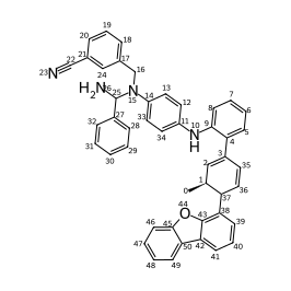 C[C@H]1C=C(c2ccccc2Nc2ccc(N(Cc3cccc(C#N)c3)C(N)c3ccccc3)cc2)C=CC1c1cccc2c1oc1ccccc12